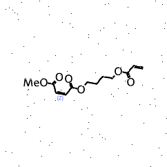 C=CC(=O)OCCCCOC(=O)/C=C\C(=O)OC